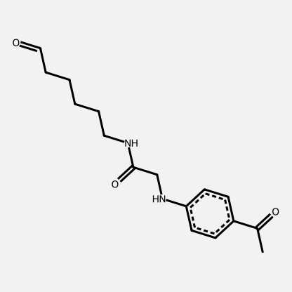 CC(=O)c1ccc(NCC(=O)NCCCCCC=O)cc1